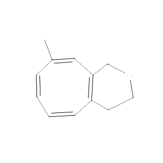 CC1=C/C2=C(\C=C/C=C\1)CCOC2